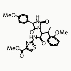 COC(=O)c1csc(NC(=O)C([C@@H](C)c2ccccc2OC)N2C(=O)N[C@H](c3ccc(OC)cc3)C2=O)n1